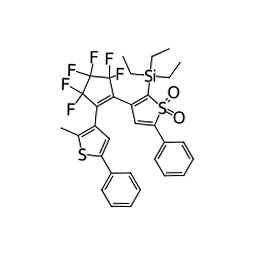 CC[Si](CC)(CC)C1=C(C2=C(c3cc(-c4ccccc4)sc3C)C(F)(F)C(F)(F)C2(F)F)C=C(c2ccccc2)S1(=O)=O